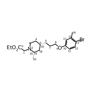 CCOC(=O)CN1CC[C@H](CCCOc2ccc(Br)c(C)c2)C[C@@H]1C